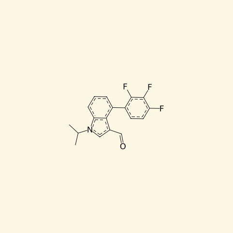 CC(C)n1cc(C=O)c2c(-c3ccc(F)c(F)c3F)cccc21